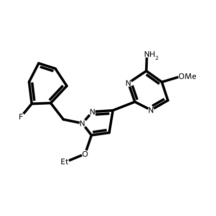 CCOc1cc(-c2ncc(OC)c(N)n2)nn1Cc1ccccc1F